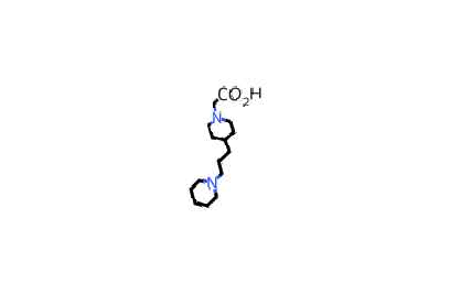 O=C(O)CN1CCC(CCCN2CCCCC2)CC1